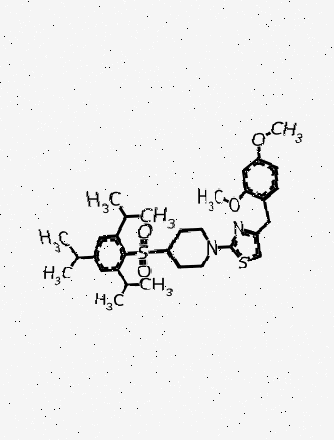 COc1ccc(Cc2csc(N3CCC(S(=O)(=O)c4c(C(C)C)cc(C(C)C)cc4C(C)C)CC3)n2)c(OC)c1